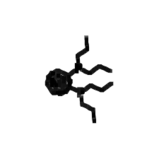 CCCP(CCC)[C]12[CH]3[CH]4[CH]5[C]1(P(CCC)CCC)[Ni]43521678[CH]2[CH]1[CH]6[CH]7[CH]28